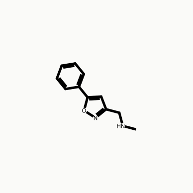 CNCc1cc(-c2ccccc2)on1